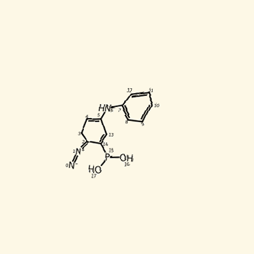 [N-]=[N+]=C1CC=C(Nc2ccccc2)C=C1P(O)O